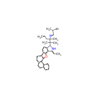 C=CCC(C)(/N=C/C(C)C(C)C)C(C)(C)C1N/C(=C\C)c2c1ccc1c2oc2c1ccc1ccc3ccccc3c12